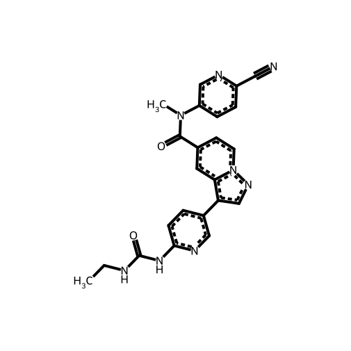 CCNC(=O)Nc1ccc(-c2cnn3ccc(C(=O)N(C)c4ccc(C#N)nc4)cc23)cn1